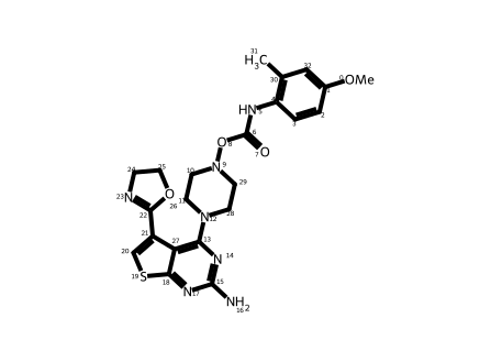 COc1ccc(NC(=O)ON2CCN(c3nc(N)nc4scc(C5=NCCO5)c34)CC2)c(C)c1